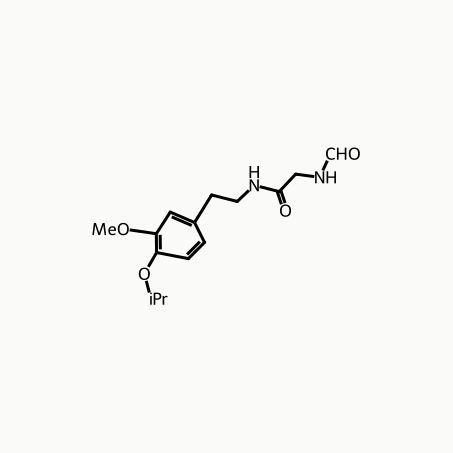 COc1cc(CCNC(=O)CNC=O)ccc1OC(C)C